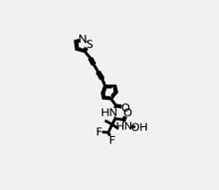 CC(C)(C(F)F)[C@H](NC(=O)c1ccc(C#CC#Cc2ccns2)cc1)C(=O)NO